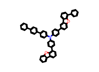 c1ccc(-c2ccc(-c3ccc(N(c4ccc(-c5ccc6oc7c(-c8ccccc8)cccc7c6c5)cc4)c4ccc(-c5cccc6c5oc5ccccc56)cc4)cc3)cc2)cc1